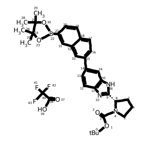 CC(C)(C)OC(=O)N1CCC[C@H]1c1nc2ccc(-c3ccc4ccc(B5OC(C)(C)C(C)(C)O5)cc4c3)cc2[nH]1.O=C(O)C(F)(F)F